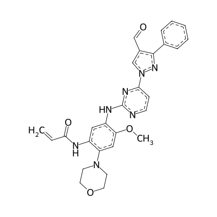 C=CC(=O)Nc1cc(Nc2nccc(-n3cc(C=O)c(-c4ccccc4)n3)n2)c(OC)cc1N1CCOCC1